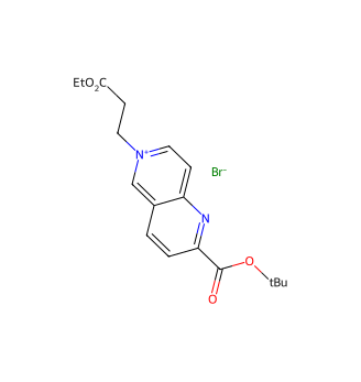 CCOC(=O)CC[n+]1ccc2nc(C(=O)OC(C)(C)C)ccc2c1.[Br-]